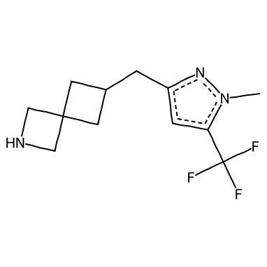 Cn1nc(CC2CC3(CNC3)C2)cc1C(F)(F)F